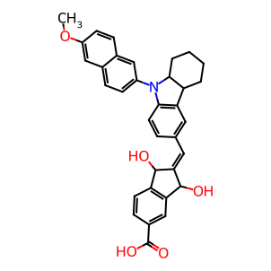 COc1ccc2cc(N3c4ccc(C=C5C(O)c6ccc(C(=O)O)cc6C5O)cc4C4CCCCC43)ccc2c1